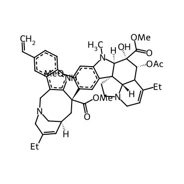 C=Cc1ccc2[nH]c3c(c2c1)CN1CC(CC)=C[C@@H](C1)C[C@]3(C(=O)OC)c1cc2c(cc1OC)N(C)[C@H]1[C@@](O)(C(=O)OC)[C@H](OC(C)=O)C3C(CC)=CCN4CC[C@]21[C@H]34